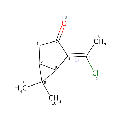 C/C(Cl)=C1\C(=O)CC2C1C2(C)C